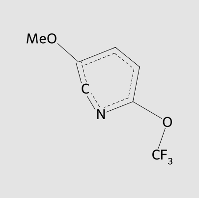 COc1ccc(OC(F)(F)F)nc1